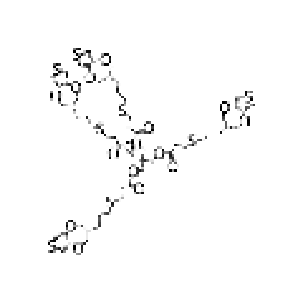 O=C(CCSCCCC1COc2cscc2OC1)OCC(COC(=O)CCSCCCC1COc2cscc2OC1)(COC(=O)CCSCCCC1COc2cscc2OC1)COC(=O)CCSCCCC1COc2cscc2OC1